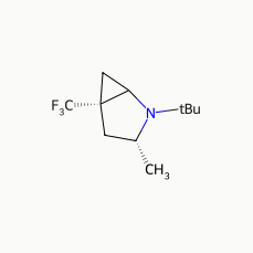 C[C@@H]1C[C@@]2(C(F)(F)F)CC2N1C(C)(C)C